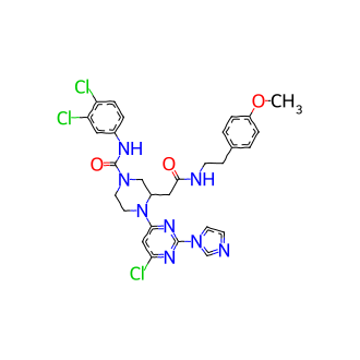 COc1ccc(CCNC(=O)CC2CN(C(=O)Nc3ccc(Cl)c(Cl)c3)CCN2c2cc(Cl)nc(-n3ccnc3)n2)cc1